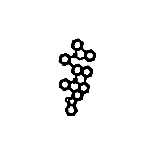 c1ccc(-c2ccccc2N(c2cccc(-c3ccccc3N3Cc4ccccc4-c4ccccc43)c2)c2ccccc2-c2cccc3c2oc2ccccc23)cc1